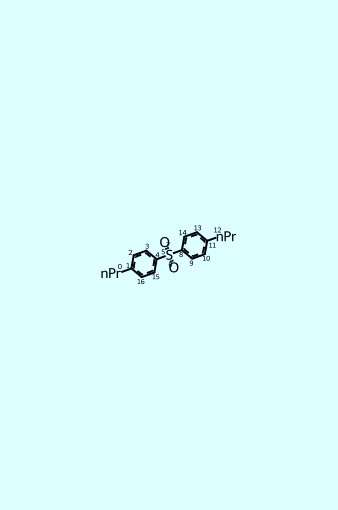 CCCc1ccc(S(=O)(=O)c2ccc(CCC)cc2)cc1